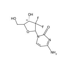 Nc1ccn(C2OC(CO)[C@H](O)C2(F)F)c(=O)n1